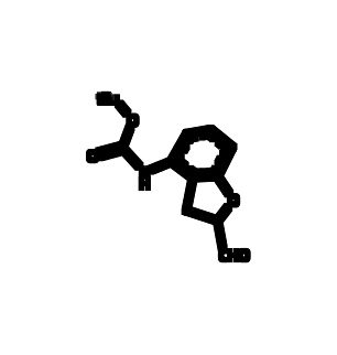 CC(C)(C)OC(=O)Nc1cccc2c1CC(C=O)O2